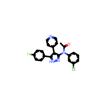 CC(=O)N(c1cccc(Cl)c1)c1n[nH]c(-c2ccc(F)cc2)c1-c1ccncc1